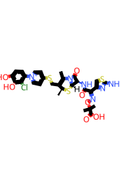 CC1=C(CSc2cc[n+](-c3ccc(O)c(O)c3Cl)cc2)[C@H](C)S[C@@H]2[C@H](NC(=O)/C(=N\OC(C)(C)C(=O)O)c3csc(N)n3)C(=O)N12